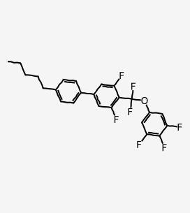 CCCCCc1ccc(-c2cc(F)c(C(F)(F)Oc3cc(F)c(F)c(F)c3)c(F)c2)cc1